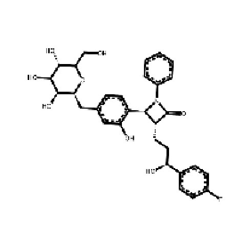 O=C1[C@H](CC[C@H](O)c2ccc(F)cc2)[C@@H](c2ccc(C[C@@H]3OC(CO)[C@@H](O)C(O)[C@@H]3O)cc2O)N1c1ccccc1